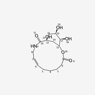 O=C1CCCC/C=C\CNC(=O)[C@@]2(O)CC(O1)[C@H](O)[C@H](O)C2